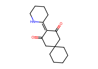 O=C1CC2(CCCCC2)CC(=O)C1=C1CCCCN1